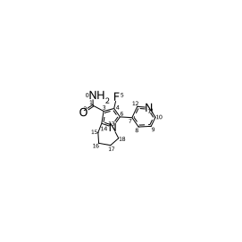 NC(=O)c1c(F)c(-c2cccnc2)n2c1CCCC2